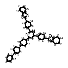 c1ccc(-c2ccc(-c3ccc(-c4cc(-c5ccc(-c6nc7ccccc7o6)cc5)nc(-c5ccc(-c6nc7ccccc7o6)cc5)n4)cc3)cc2)cc1